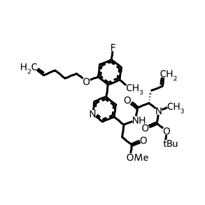 C=CCCCOc1cc(F)cc(C)c1-c1cncc(C(CC(=O)OC)NC(=O)[C@H](CC=C)N(C)C(=O)OC(C)(C)C)c1